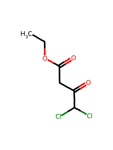 CCOC(=O)CC(=O)C(Cl)Cl